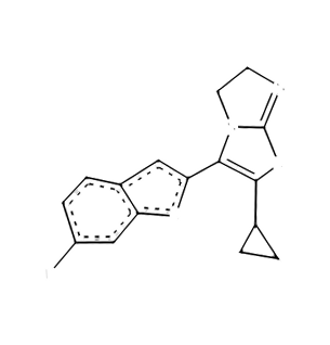 Fc1ccc2cc(C3=C(C4CC4)SC4=NCCN43)sc2c1